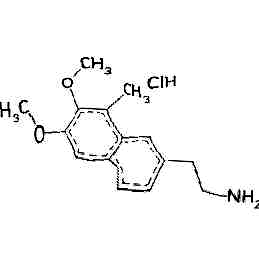 COc1cc2ccc(CCN)cc2c(C)c1OC.Cl